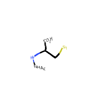 CC(=O)NNC(CS)C(=O)O